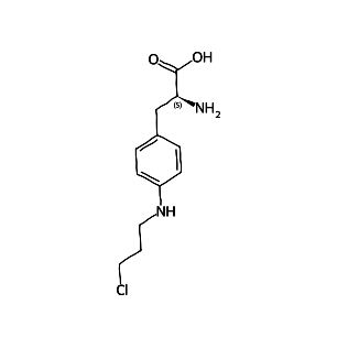 N[C@@H](Cc1ccc(NCCCCl)cc1)C(=O)O